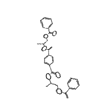 C=C(OCC(C)OC(=O)c1ccc(C(=C)OC(C)COC(=O)c2ccccc2)cc1)c1ccccc1